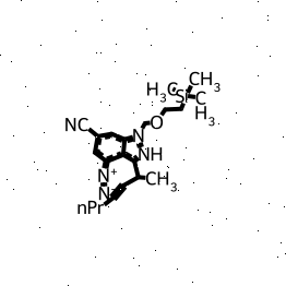 CCCC#CC(C)c1[nH]n(COCC[Si](C)(C)C)c2cc(C#N)cc(=[N+]=[N-])c1-2